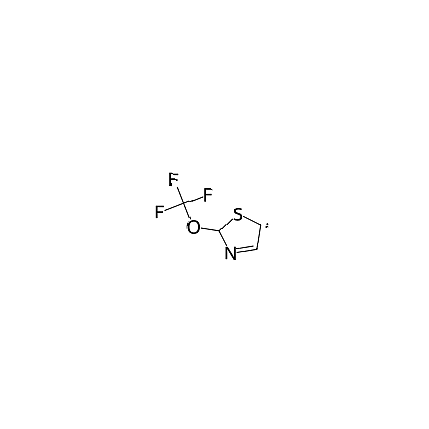 FC(F)(F)OC1N=C[C]S1